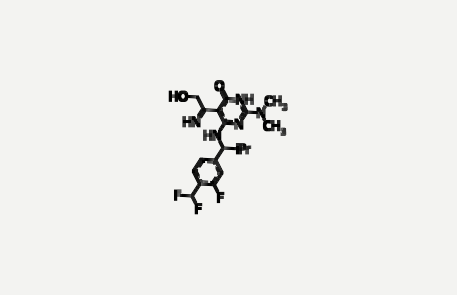 CC(C)C(Nc1nc(N(C)C)[nH]c(=O)c1C(=N)CO)c1ccc(C(F)F)c(F)c1